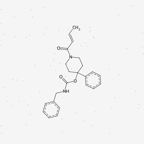 CC=CC(=O)N1CCC(OC(=O)NCc2ccccc2)(c2ccccc2)CC1